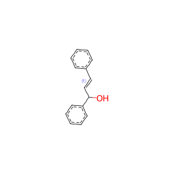 OC(/C=C/c1ccccc1)c1ccccc1